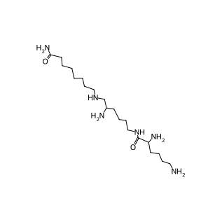 NCCCCC(N)C(=O)NCCCCC(N)CNCCCCCCCC(N)=O